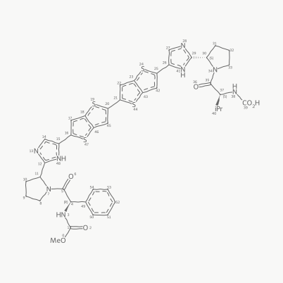 COC(=O)N[C@@H](C(=O)N1CCCC1c1ncc(-c2cc3sc(-c4cc5sc(-c6cnc([C@@H]7CCCN7C(=O)[C@@H](NC(=O)O)C(C)C)[nH]6)cc5s4)cc3s2)[nH]1)c1ccccc1